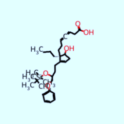 CCCC[C@@]1(CCC=C=CCC(=O)O)C(CCC(COc2ccccc2)O[Si](C)(C)C(C)(C)C)=CCC1O